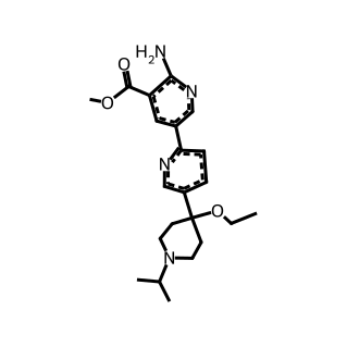 CCOC1(c2ccc(-c3cnc(N)c(C(=O)OC)c3)nc2)CCN(C(C)C)CC1